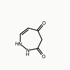 O=C1C=CNNC(=O)C1